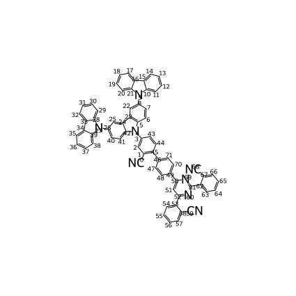 N#Cc1cc(-n2c3ccc(-n4c5ccccc5c5ccccc54)cc3c3cc(-n4c5ccccc5c5ccccc54)ccc32)ccc1-c1ccc(-c2cc(-c3ccccc3C#N)nc(-c3ccccc3C#N)n2)cc1